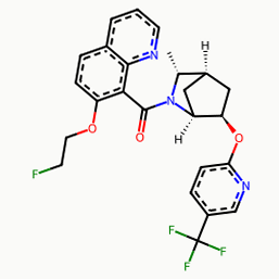 C[C@@H]1[C@H]2C[C@@H](Oc3ccc(C(F)(F)F)cn3)[C@H](C2)N1C(=O)c1c(OCCF)ccc2cccnc12